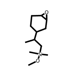 CO[Si](C)(C)CC(C)C1CCC2OC2C1